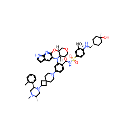 Cc1ccccc1[C@@H]1CN(C)[C@@H](C)CN1C1CC2(CCN(c3ccc(C(=O)NS(=O)(=O)c4ccc(NC[C@H]5CC[C@](C)(O)CC5)c([N+](=O)[O-])c4)c(N4c5cc6cc[nH]c6nc5O[C@H]5COCC[C@@H]54)c3)CC2)C1